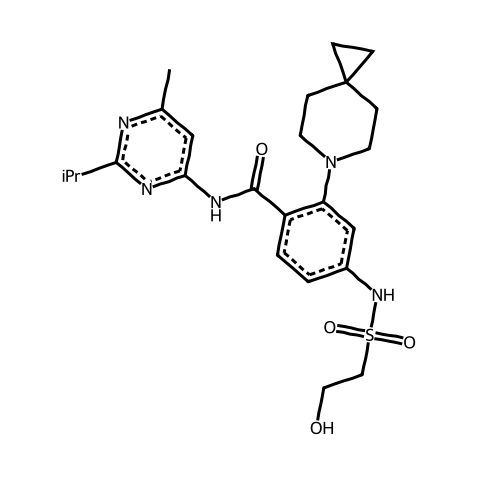 Cc1cc(NC(=O)c2ccc(NS(=O)(=O)CCO)cc2N2CCC3(CC2)CC3)nc(C(C)C)n1